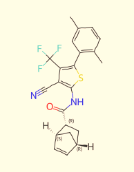 Cc1ccc(C)c(-c2sc(NC(=O)[C@@H]3C[C@@H]4C=C[C@@H]3C4)c(C#N)c2C(F)(F)F)c1